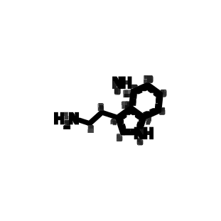 N.NCCc1c[nH]c2ccccc12